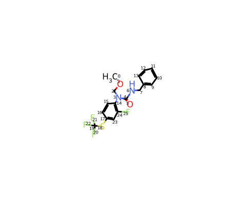 COCN(C(=O)NCc1ccccc1)c1ccc(SC(F)(F)F)cc1F